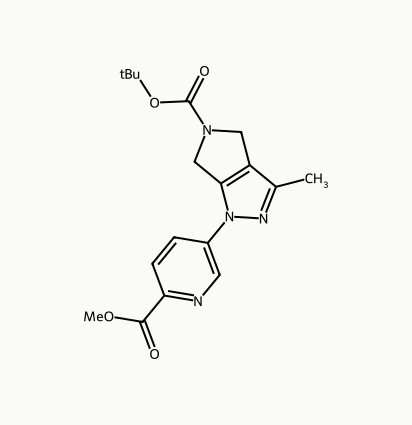 COC(=O)c1ccc(-n2nc(C)c3c2CN(C(=O)OC(C)(C)C)C3)cn1